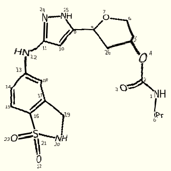 CC(C)NC(=O)OC1COC(c2cc(Nc3ccc4c(c3)CNS4(=O)=O)n[nH]2)C1